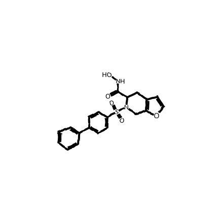 O=C(NO)C1Cc2ccoc2CN1S(=O)(=O)c1ccc(-c2ccccc2)cc1